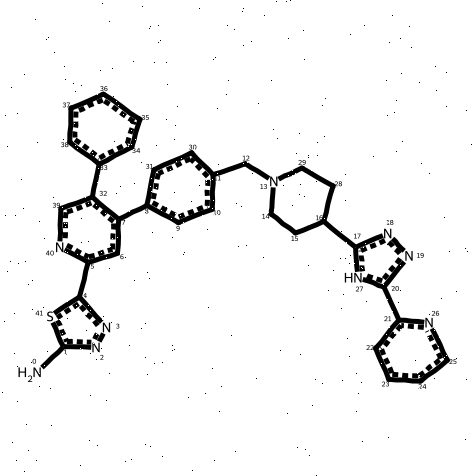 Nc1nnc(-c2cc(-c3ccc(CN4CCC(c5nnc(-c6ccccn6)[nH]5)CC4)cc3)c(-c3ccccc3)cn2)s1